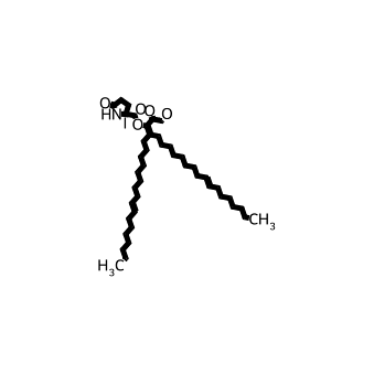 CCCCCCCC=CCCCCCCCCC(CCCCCCCCC=CCCCCCCC)=C(OC(=O)C1(I)CCC(=O)N1)C(=O)C=O